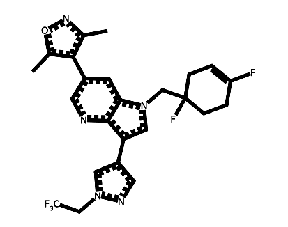 Cc1noc(C)c1-c1cnc2c(-c3cnn(CC(F)(F)F)c3)cn(CC3(F)CC=C(F)CC3)c2c1